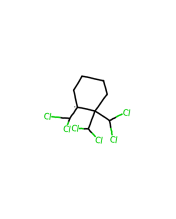 ClC(Cl)[C]1CCCCC1(C(Cl)Cl)C(Cl)Cl